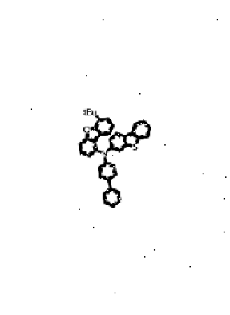 CC(C)(C)c1cccc2c1oc1cccc(N(c3ccc(-c4ccccc4)cc3)c3ccc4c(c3)sc3ccccc34)c12